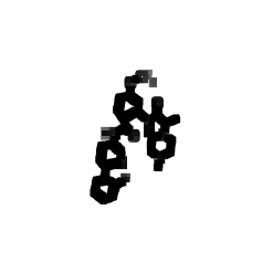 CC(C(=O)Nc1cc(OC(F)(F)F)ccc1C(=O)Nc1ccc(-c2ccccc2F)nc1)N1CCN(C)CC1